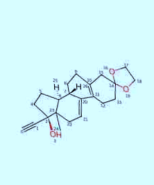 C#C[C@]1(O)CC[C@H]2[C@@H]3CCC4=C(CCC5(C4)OCCO5)C3=CCC21C